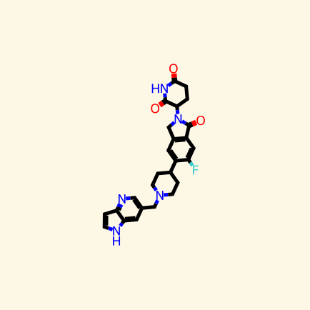 O=C1CCC(N2Cc3cc(C4CCN(Cc5cnc6cc[nH]c6c5)CC4)c(F)cc3C2=O)C(=O)N1